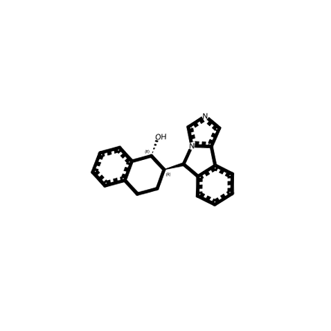 O[C@H]1c2ccccc2CC[C@@H]1C1c2ccccc2-c2cncn21